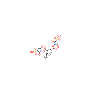 CCCC(CC(CC)C(=O)ON1C(=O)CC(S(=O)(=O)O)C1=O)C(=O)ON1C(=O)CC(S(=O)(=O)O)C1=O